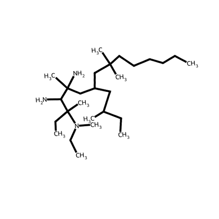 CCCCCCC(C)(C)CC(CC(C)CC)CC(C)(N)C(N)C(C)(CC)N(C)CC